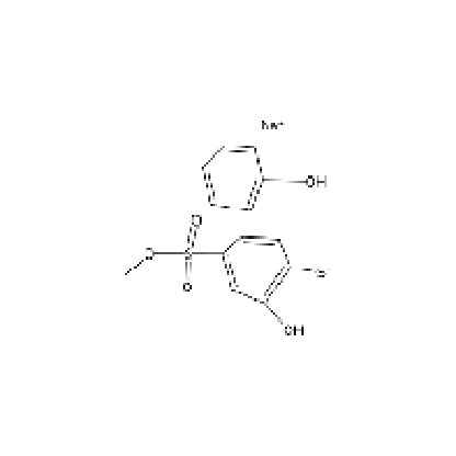 COS(=O)(=O)c1ccc([S-])c(O)c1.Oc1ccccc1.[Na+]